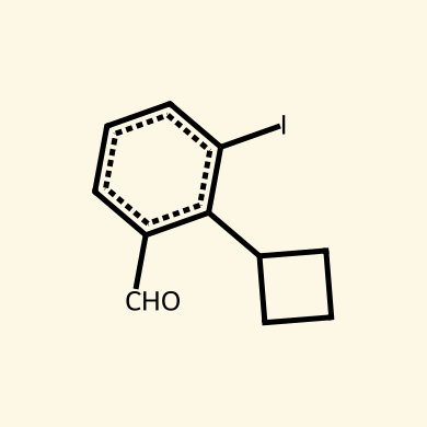 O=Cc1cccc(I)c1C1CCC1